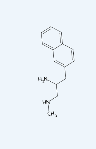 CNCC(N)Cc1ccc2ccccc2c1